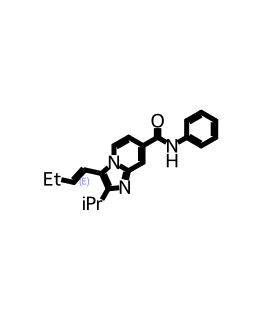 CC/C=C/c1c(C(C)C)nc2cc(C(=O)Nc3ccccc3)ccn12